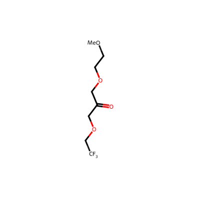 COCCOCC(=O)COCC(F)(F)F